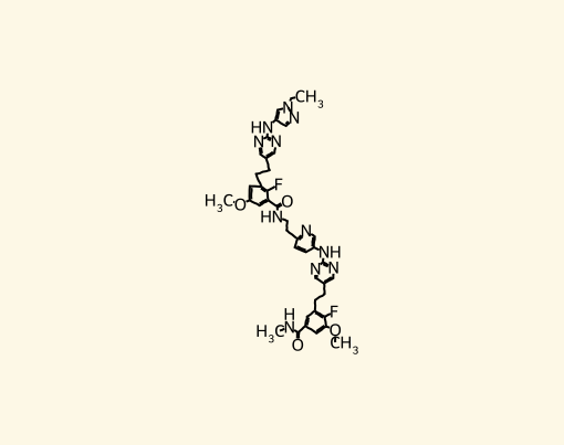 CCn1cc(Nc2ncc(CCc3cc(OC)cc(C(=O)NCCc4ccc(Nc5ncc(CCc6cc(C(=O)NC)cc(OC)c6F)cn5)cn4)c3F)cn2)cn1